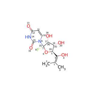 CC(C)=C(O)[C@H]1O[C@@](F)(n2ccc(=O)[nH]c2=O)[C@H](O)[C@@H]1O